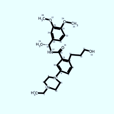 CCN1CCN(c2ccc(CCCO)c(C(=O)N[C@H](C)c3ccc(OC)c(OC)c3)c2)CC1